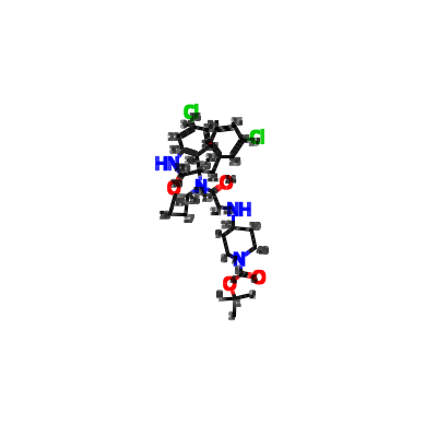 CC(C)(C)OC(=O)N1CCC(NCC(=O)N(C2CCC2)C2(Cc3cccc(Cl)c3)C(=O)Nc3cc(Cl)ccc32)CC1